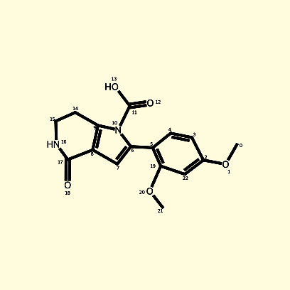 COc1ccc(-c2cc3c(n2C(=O)O)CCNC3=O)c(OC)c1